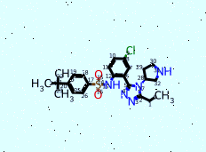 CCc1nnc(-c2cc(Cl)ccc2NS(=O)(=O)c2ccc(C(C)(C)C)cc2)n1[C@H]1CCNC1